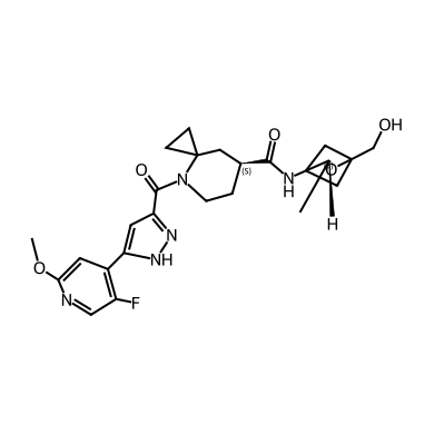 COc1cc(-c2cc(C(=O)N3CC[C@H](C(=O)NC45CC(CO)(C4)O[C@H]5C)CC34CC4)n[nH]2)c(F)cn1